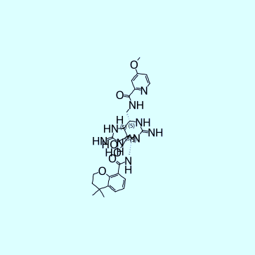 COc1ccnc(C(=O)NC[C@@H]2NC(=N)N3C[C@H](NC(=O)c4cccc5c4OCCC5(C)C)C(O)(O)[C@@]34NC(=N)N[C@@H]24)c1